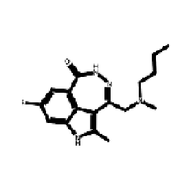 CCCCN(C)CC1=NNC(=O)c2cc(F)cc3[nH]c(C)c1c23